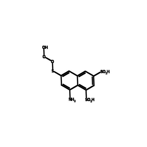 Nc1cc(SOOO)cc2cc(S(=O)(=O)O)cc(S(=O)(=O)O)c12